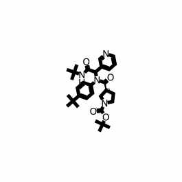 CC(C)(C)NC(=O)C(c1cccnc1)N(C(=O)[C@H]1CCN(C(=O)OC(C)(C)C)C1)c1ccc(C(C)(C)C)cc1